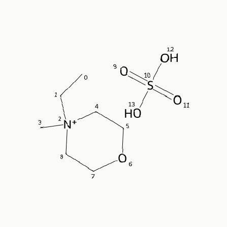 CC[N+]1(C)CCOCC1.O=S(=O)(O)O